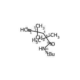 C#CC(C)(C)CC(C)(C)C(=O)NC(C)(C)C